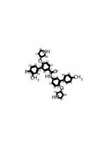 Cc1ccc(-c2cc(NC(=O)c3ccc(O[C@H]4CCNC4)c(-c4ccc(F)c(C)c4)c3)ccc2O[C@H]2CCNC2)cc1